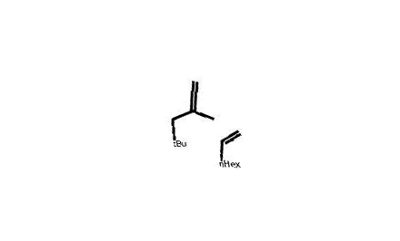 C=C(C)CC(C)(C)C.C=CCCCCCC